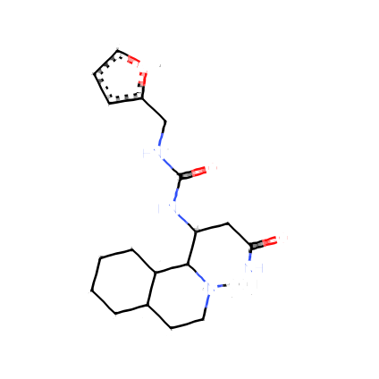 NC(=O)CC(NC(=O)NCc1ccco1)C1C2CCCCC2CCN1C(=O)O